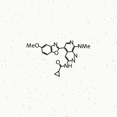 CNc1ncc(-c2nc3cc(OC)ccc3o2)c2cc(NC(=O)C3CC3)nnc12